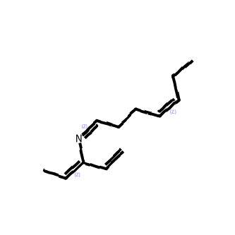 C=CC(=C/C)/N=C\CC/C=C\CC